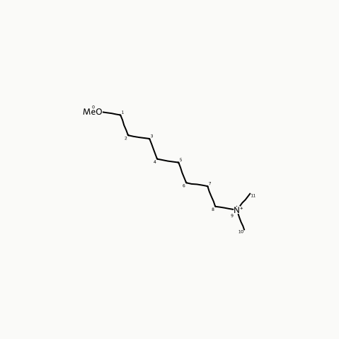 COCCCCCCCC[N+](C)C